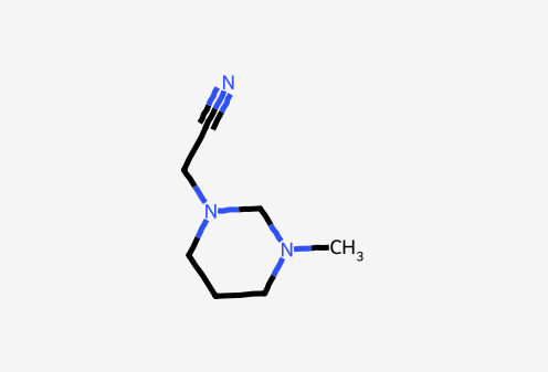 CN1CCCN(CC#N)C1